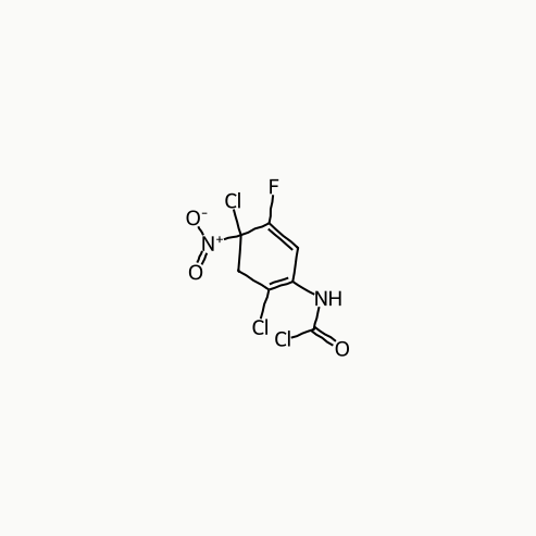 O=C(Cl)NC1=C(Cl)CC(Cl)([N+](=O)[O-])C(F)=C1